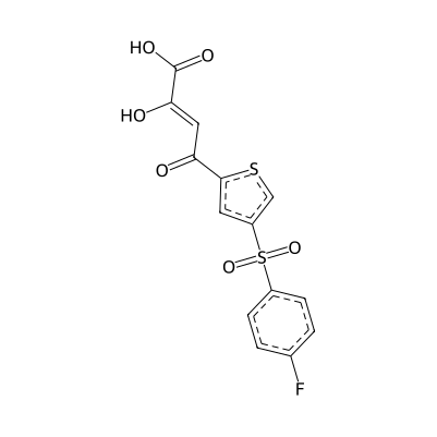 O=C(O)C(O)=CC(=O)c1cc(S(=O)(=O)c2ccc(F)cc2)cs1